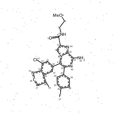 COCCNC(=O)c1cn2c(-c3cc(Cl)c4nccc(C)c4c3)c(-c3ccc(F)cc3)nc(N)c2n1